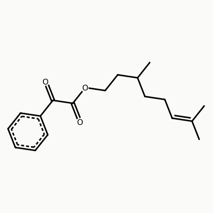 CC(C)=CCCC(C)CCOC(=O)C(=O)c1ccccc1